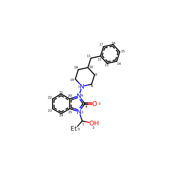 CCC(O)n1c(=O)n(N2CCC(Cc3ccccc3)CC2)c2ccccc21